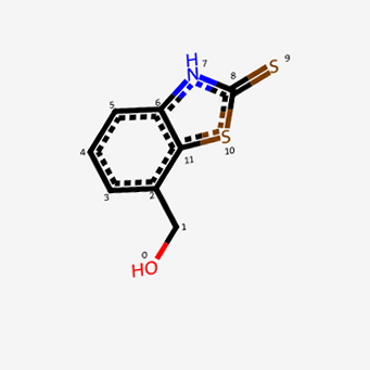 OCc1cccc2[nH]c(=S)sc12